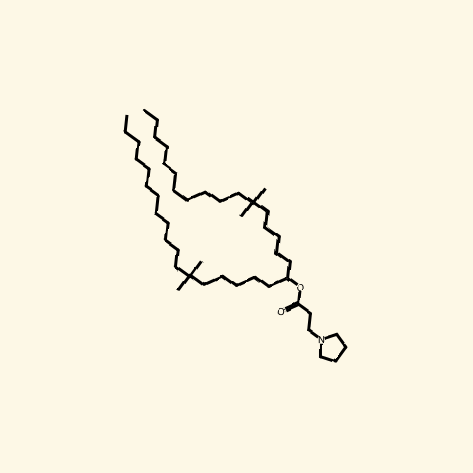 CCCCCCCCCCCCC(C)(C)CCCCCC(CCCCCC(C)(C)CCCCCCCCCCC)OC(=O)CCN1CCCC1